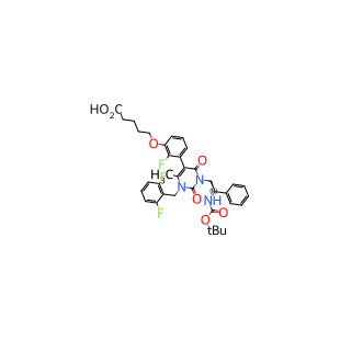 Cc1c(-c2cccc(OCCCCC(=O)O)c2F)c(=O)n(C[C@H](NC(=O)OC(C)(C)C)c2ccccc2)c(=O)n1Cc1c(F)cccc1F